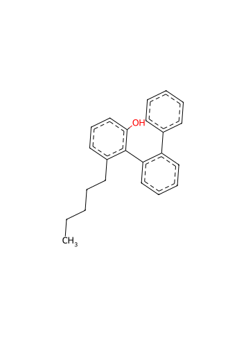 CCCCCc1cccc(O)c1-c1ccccc1-c1ccccc1